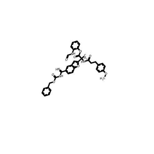 COc1ccc(CCC(=O)NC(C)(C(=O)Oc2ccccc2NC=O)c2cc3cc(C(=N)NC(=O)OCc4ccccc4)ccc3o2)cc1